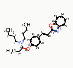 CCCCN(CCCC)C(CC)Oc1ccc(/C=C/c2nc3ccccc3o2)cc1